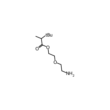 CC(C(=O)OCCOCCN)C(C)(C)C